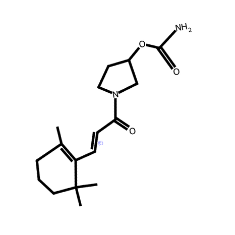 CC1=C(/C=C/C(=O)N2CCC(OC(N)=O)C2)C(C)(C)CCC1